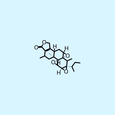 CCC(C)[C@]12O[C@H]1[C@@H]1O[C@@]13[C@@]1(C)CC(C)C4=C(COC4=O)[C@@H]1C[C@@H]1O[C@@]13C2C